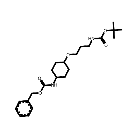 CC(C)(C)OC(=O)NCCCOC1CCC(NC(=O)OCc2ccccc2)CC1